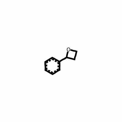 c1ccc([C]2CCO2)cc1